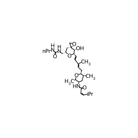 CCCNC(=O)NC[C@@H]1C[C@@]2(CO2)[C@H](O)[C@@H](/C=C/C(C)=C/C[C@@H]2O[C@H](C)[C@H](NC(=O)/C=C\C(C)C)C[C@@H]2C)O1